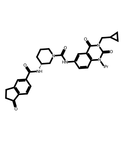 CC(C)n1c(=O)n(CC2CC2)c(=O)c2cc(NC(=O)N3CCC[C@@H](NC(=O)c4ccc5c(c4)CCC5=O)C3)ccc21